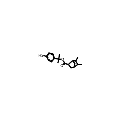 CC1C2CC(C(=O)OC(C)(C)c3ccc(S)cc3)C(C2)C1C